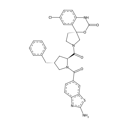 Nc1nc2ccc(C(=O)N3C[C@H](Cc4ccccc4)C[C@H]3C(=O)N3CC[C@@]4(C3)OC(=O)Nc3ccc(Cl)cc34)cc2s1